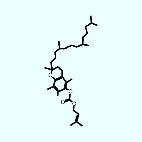 CC(C)=CCOC(=O)Oc1c(C)c(C)c2c(c1C)CCC(C)(CCCC(C)CCCC(C)CCCC(C)C)O2